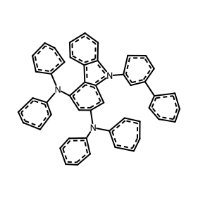 c1ccc(-c2cccc(-n3c4ccccc4c4c(N(c5ccccc5)c5ccccc5)cc(N(c5ccccc5)c5ccccc5)cc43)c2)cc1